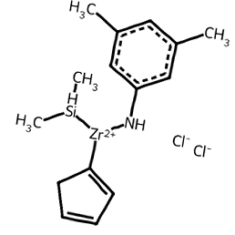 Cc1cc(C)cc([NH][Zr+2]([C]2=CC=CC2)[SiH](C)C)c1.[Cl-].[Cl-]